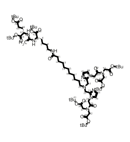 C=C(N[C@@H](CCCCNC(=O)CCCCCCCCCCN(Cc1nccn1CC(=O)N(CC(=O)OC(C)(C)C)CC(=O)OC(C)(C)C)Cc1nccn1CC(=O)N(CC(=O)OC(C)(C)C)CC(=O)OC(C)(C)C)C(=O)OC(C)(C)C)N[C@@H](CCC(=O)OC(C)(C)C)C(=O)OC(C)(C)C